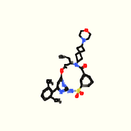 Cc1cccc(C)c1-c1cc2nc(n1)NS(=O)(=O)c1cccc(c1)C(=O)N(C1CC3(CC(N4CCOCC4)C3)C1)[C@H](CC(C)(C)C)CO2